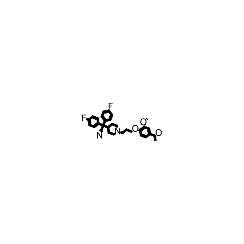 COc1cc(C(C)=O)ccc1OCCCN1CCC(C(C#N)(c2ccc(F)cc2)c2ccc(F)cc2)CC1